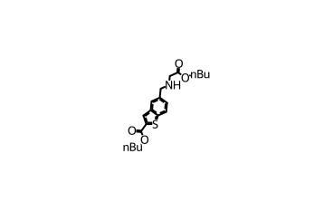 CCCCOC(=O)CNCc1ccc2sc(C(=O)OCCCC)cc2c1